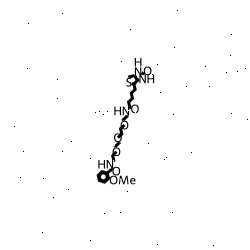 COc1ccccc1C(=O)NCCOCCOCCOCCNC(=O)CCCCC1SCC2NC(=O)NC21